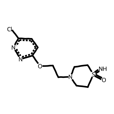 N=S1(=O)CCN(CCOc2ccc(Cl)nn2)CC1